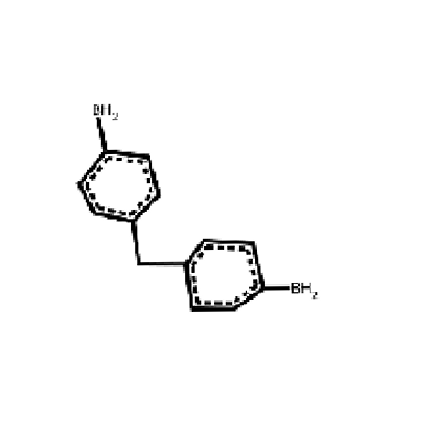 Bc1ccc(Cc2ccc(B)cc2)cc1